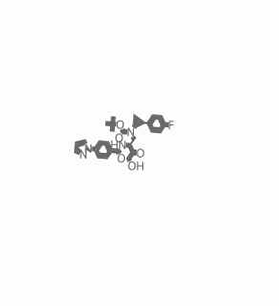 CC(C)(C)OC(=O)N(C[C@H](NC(=O)c1ccc(-n2cccn2)cc1)C(=O)CO)C1C[C@H]1c1ccc(F)cc1